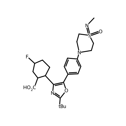 CN=S1(=O)CCN(c2ccc(-c3oc(C(C)(C)C)nc3C3CCC(F)CC3C(=O)O)cc2)CC1